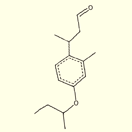 CCC(C)Oc1ccc(C(C)CC=O)c(C)c1